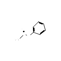 CCCS(=O)Oc1ccccc1